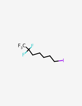 FC(F)(F)C(F)(F)CCCCCI